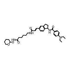 CCN(CC)c1ccc(C(=O)NC2CCc3cc(/C=C/C(=O)NCCCCCC(=O)NOC4CCCCO4)ccc32)cc1